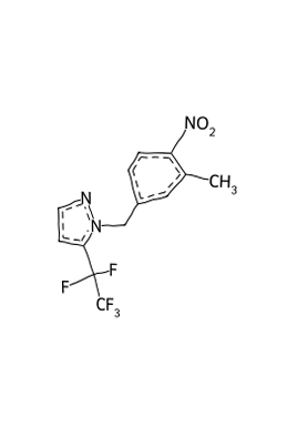 Cc1cc(Cn2nccc2C(F)(F)C(F)(F)F)ccc1[N+](=O)[O-]